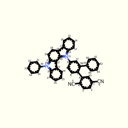 N#Cc1ccc(C#N)c(-c2ccc(-n3c4ccccc4c4ccc5c(c6ccccc6n5-c5ccccc5)c43)cc2-c2ccccc2)c1